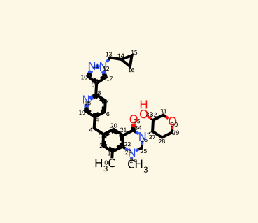 Cc1cc(Cc2ccc(-c3cnn(CC4CC4)c3)nc2)cc2c1N(C)CN([C@H]1CCOC[C@@H]1O)C2=O